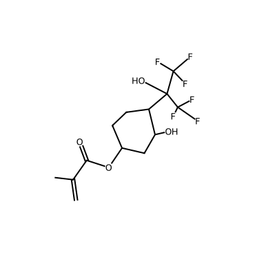 C=C(C)C(=O)OC1CCC(C(O)(C(F)(F)F)C(F)(F)F)C(O)C1